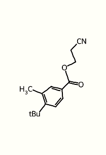 Cc1cc(C(=O)OCCC#N)ccc1C(C)(C)C